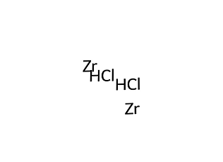 Cl.Cl.[Zr].[Zr]